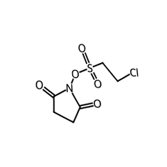 O=C1CCC(=O)N1OS(=O)(=O)CCCl